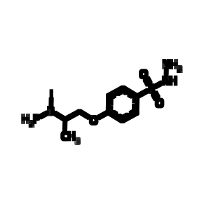 CC(COc1ccc(S(=O)(=O)NN)cc1)B(P)I